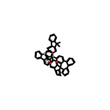 CC1(C)c2ccccc2-c2ccc(N(c3ccc4c(c3)C3(c5ccccc5-c5ccccc5-4)c4ccccc4-c4cc5oc6ccccc6c5cc43)c3cccc4c3oc3ccccc34)cc21